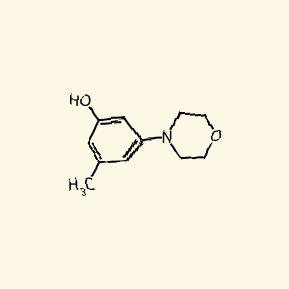 Cc1cc(O)cc(N2CCOCC2)c1